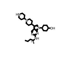 CCC[C@H](C)Nc1ncc2c(C3CCN(C4CCNCC4)CC3)cn(C3CCC(O)CC3)c2n1